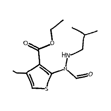 CCOC(=O)c1c(C)csc1N(C=O)NCC(C)C